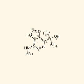 CCCCNc1ccc(C(O)(C(F)(F)F)C(F)(F)F)c2c1OCO2